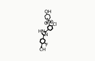 C#Cc1ccc(-c2c[nH]c(-c3ccc(Cl)c(S(=O)(=O)N4CCC(O)CC4)c3)n2)cc1F